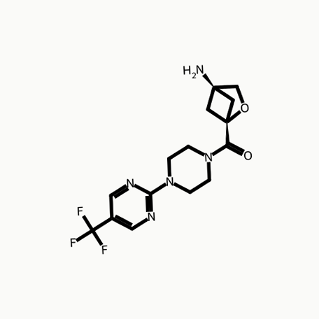 N[C@]12CO[C@](C(=O)N3CCN(c4ncc(C(F)(F)F)cn4)CC3)(C1)C2